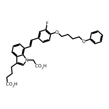 O=C(O)CCCc1cn(CC(=O)O)c2c(C=Cc3ccc(OCCCCOc4ccccc4)c(F)c3)cccc12